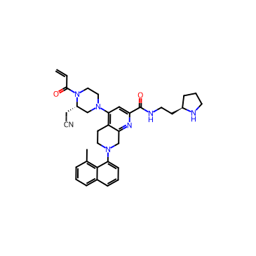 C=CC(=O)N1CCN(c2cc(C(=O)NCC[C@H]3CCCN3)nc3c2CCN(c2cccc4cccc(C)c24)C3)C[C@@H]1CC#N